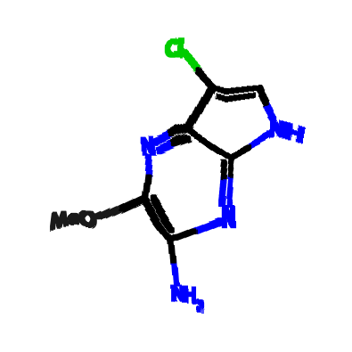 COc1nc2c(Cl)c[nH]c2nc1N